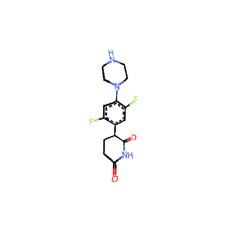 O=C1CCC(c2cc(F)c(N3CCNCC3)cc2F)C(=O)N1